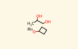 CC(O)CO.CCC(C)OC1CCC1